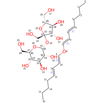 CCCC/C=C/C=C/O/C=C/C=C/CCCC.OC[C@H]1O[C@@](CO)(O[C@H]2O[C@H](CO)[C@@H](O)[C@H](O)[C@H]2O)[C@@H](O)[C@@H]1O